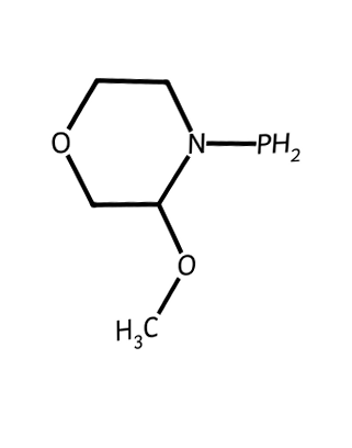 COC1COCCN1P